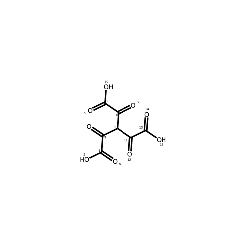 O=C(O)C(=O)C(C(=O)C(=O)O)C(=O)C(=O)O